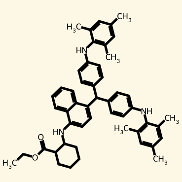 CCOC(=O)C1CCCCC1Nc1ccc(C(c2ccc(Nc3c(C)cc(C)cc3C)cc2)c2ccc(Nc3c(C)cc(C)cc3C)cc2)c2ccccc12